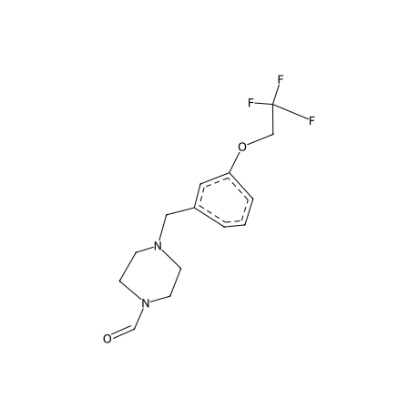 O=CN1CCN(Cc2cccc(OCC(F)(F)F)c2)CC1